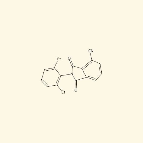 CCc1cccc(CC)c1N1C(=O)c2cccc(C#N)c2C1=O